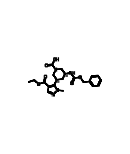 CCOC(=O)c1cnn(C)c1[C@@H]1C[C@H](NC(=O)OCc2ccccc2)CN(C(=O)O)C1